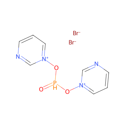 O=[PH](O[n+]1cccnc1)O[n+]1cccnc1.[Br-].[Br-]